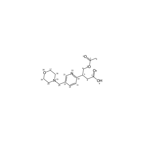 CC(=O)OCC(CC(=O)O)c1ccc(CN2CCOCC2)cn1